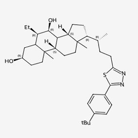 CC[C@@H]1C2C[C@H](O)CCC2(C)[C@H]2CCC3(C)[C@@H]([C@H](C)CCc4nnc(-c5ccc(C(C)(C)C)cc5)s4)CC[C@H]3C2[C@@H]1O